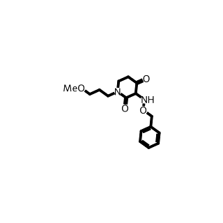 COCCCN1CCC(=O)C(NOCc2ccccc2)C1=O